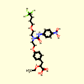 CCOC(Cc1ccc(OCCN(CCOCCCC(F)(F)F)C(=O)Nc2ccc([N+](=O)[O-])cc2)cc1)C(=O)O